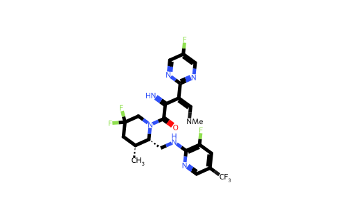 CN/C=C(\C(=N)C(=O)N1CC(F)(F)C[C@@H](C)[C@H]1CNc1ncc(C(F)(F)F)cc1F)c1ncc(F)cn1